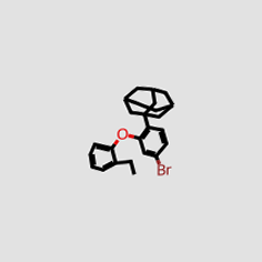 CCc1ccccc1Oc1cc(Br)ccc1C12CC3CC(CC(C3)C1)C2